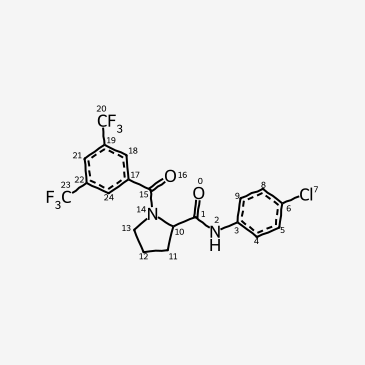 O=C(Nc1ccc(Cl)cc1)C1CCCN1C(=O)c1cc(C(F)(F)F)cc(C(F)(F)F)c1